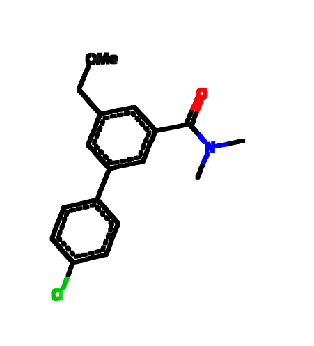 COCc1cc(C(=O)N(C)C)cc(-c2ccc(Cl)cc2)c1